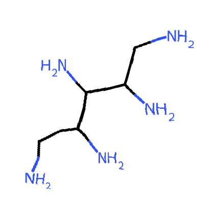 NCC(N)C(N)C(N)CN